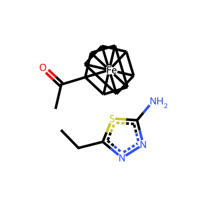 CC(=O)[C]12[CH]3[CH]4[CH]5[CH]1[Fe]45321678[CH]2[CH]1[CH]6[CH]7[CH]28.CCc1nnc(N)s1